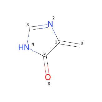 C=C1N=CNC1=O